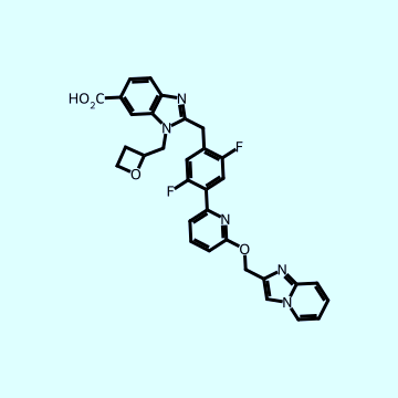 O=C(O)c1ccc2nc(Cc3cc(F)c(-c4cccc(OCc5cn6ccccc6n5)n4)cc3F)n(CC3CCO3)c2c1